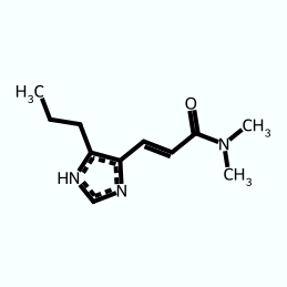 CCCc1[nH]cnc1C=CC(=O)N(C)C